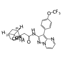 CC1(C)[C@H]2CC[C@@H](CC(=O)Nc3nn4cccnc4c3-c3ccc(OC(F)(F)F)cc3)[C@H]1C2